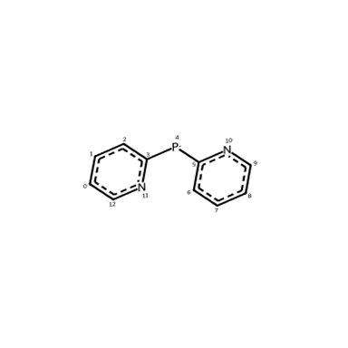 c1ccc([P]c2ccccn2)nc1